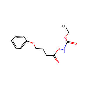 O=C(CCCOc1ccccc1)ONC(=O)OCC(Cl)(Cl)Cl